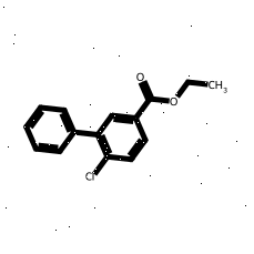 CCOC(=O)c1c[c]c(Cl)c(-c2ccccc2)c1